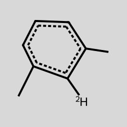 [2H]c1c(C)cccc1C